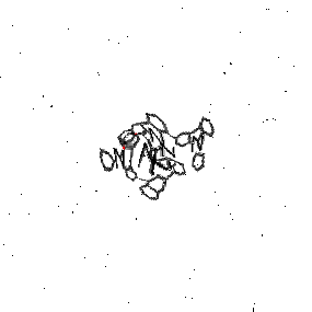 c1ccc(-n2c3ccccc3c3cc(-c4c5ccccc5cc5c6cccc7c8nc9c(nc8n(c45)c67)c4c5ccccc5cc5c6cccc(-c7ccc8c(c7)c7ccccc7n8-c7ccccc7)c6n9c54)ccc32)cc1